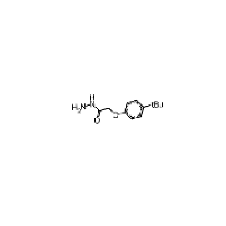 CC(C)(C)c1ccc(OCC(=O)NN)cc1